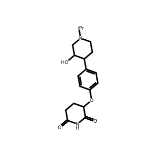 CC(C)N1CCC(c2ccc(OC3CCC(=O)NC3=O)cc2)C(O)C1